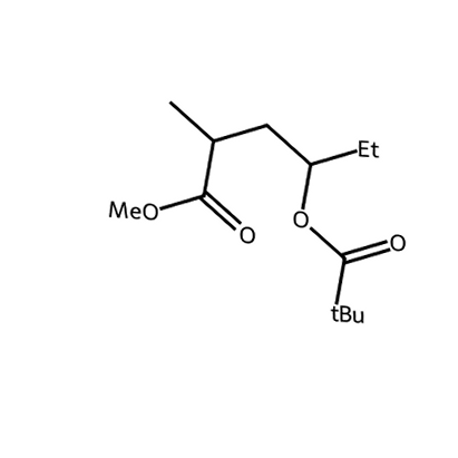 CCC(CC(C)C(=O)OC)OC(=O)C(C)(C)C